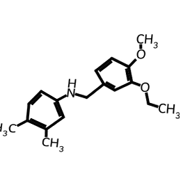 CCOc1cc(CNc2ccc(C)c(C)c2)ccc1OC